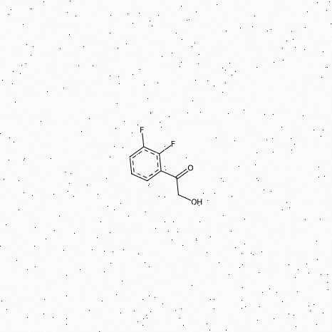 O=C(CO)c1cccc(F)c1F